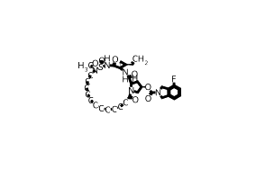 C=C[C@@H]1C[C@@]12NC(=O)[C@@H]1C[C@@H](OC(=O)N3Cc4cccc(F)c4C3)CN1C(=O)CCCCCCCCCCCN(C)S(=O)(=O)NC2=O